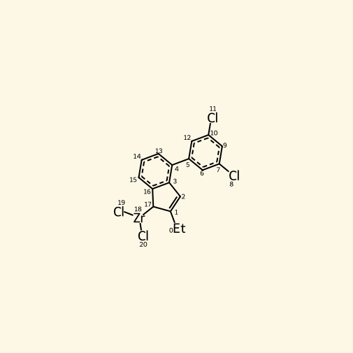 CCC1=Cc2c(-c3cc(Cl)cc(Cl)c3)cccc2[CH]1[Zr]([Cl])[Cl]